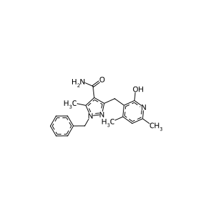 Cc1cc(C)c(Cc2nn(Cc3ccccc3)c(C)c2C(N)=O)c(O)n1